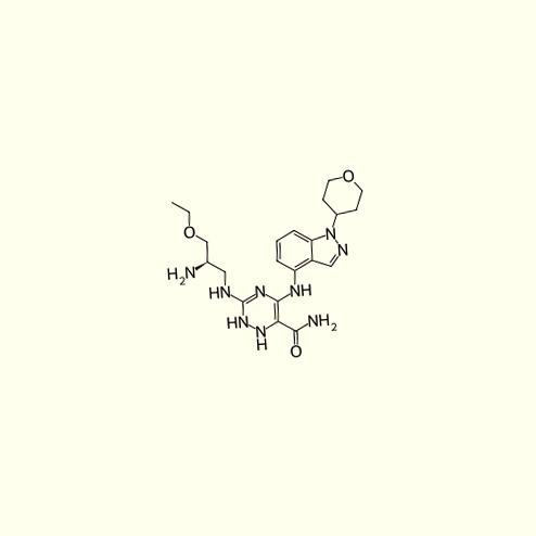 CCOC[C@H](N)CNC1=NC(Nc2cccc3c2cnn3C2CCOCC2)=C(C(N)=O)NN1